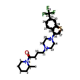 CC1CCCCN1C(=O)CCCN1CCN(c2csc3cc(C(F)(F)F)ccc23)CC1